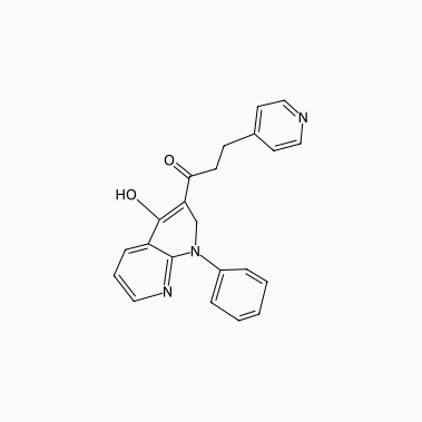 O=C(CCc1ccncc1)C1=C(O)c2cccnc2N(c2ccccc2)C1